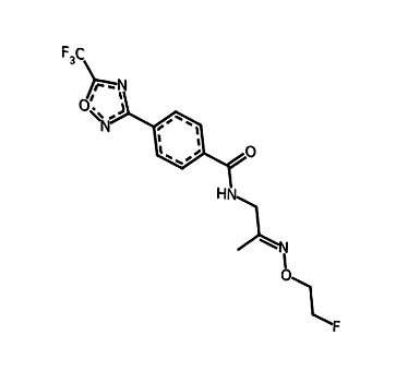 C/C(CNC(=O)c1ccc(-c2noc(C(F)(F)F)n2)cc1)=N\OCCF